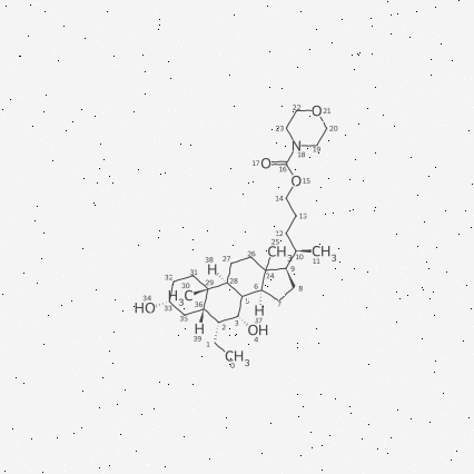 CC[C@H]1[C@@H](O)C2[C@@H]3CC[C@H]([C@H](C)CCCOC(=O)N4CCOCC4)C3(C)CC[C@@H]2[C@@]2(C)CC[C@@H](O)C[C@@H]12